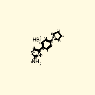 Br.Nc1nc(-c2ccc(N3CCCC3)cc2)cs1